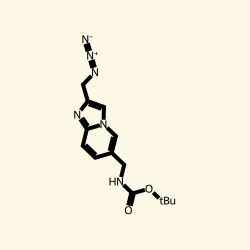 CC(C)(C)OC(=O)NCc1ccc2nc(CN=[N+]=[N-])cn2c1